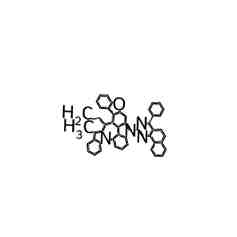 C=C/C=c1/c2c3c(cc4c2c2c(cccc2n2c1c(C)c1ccccc12)n4-c1nc(-c2ccccc2)c2ccc4ccccc4c2n1)oc1ccccc13